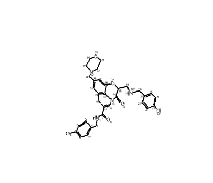 O=C(NCc1ccc(Cl)cc1)C1=CN2C(=O)C(CNCc3ccc(Cl)cc3)Oc3cc(CN4CCOCC4)cc(c32)C1